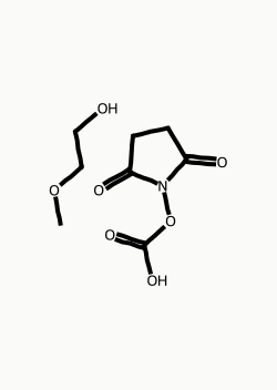 COCCO.O=C(O)ON1C(=O)CCC1=O